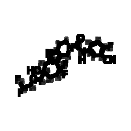 N#Cc1cc(NC(=O)N2CCc3nn4c(c3C2)C(F)(F)CC[C@](O)(COCC(F)F)C4)ccc1F